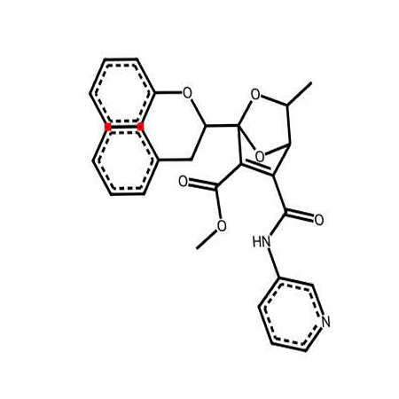 COC(=O)C1=C(C(=O)Nc2cccnc2)C2OC1(C(Cc1ccccc1)Oc1ccccc1)OC2C